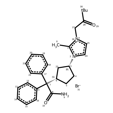 Cc1n([C@@H]2CC[C@H](C(C(N)=O)(c3ccccc3)c3ccccc3)C2)cc[n+]1CC(=O)C(C)(C)C.[Br-]